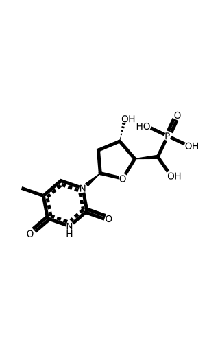 Cc1cn([C@H]2C[C@H](O)[C@@H](C(O)P(=O)(O)O)O2)c(=O)[nH]c1=O